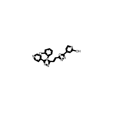 Oc1cc(-c2nnc(/C=C/c3nnc(-c4ccncc4)n3-c3ccccc3Cl)o2)ccn1